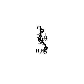 NC(=O)C1CCC(COCc2csc3nc(C(=O)NCc4cccc(Cl)c4)[nH]c(=O)c23)C1